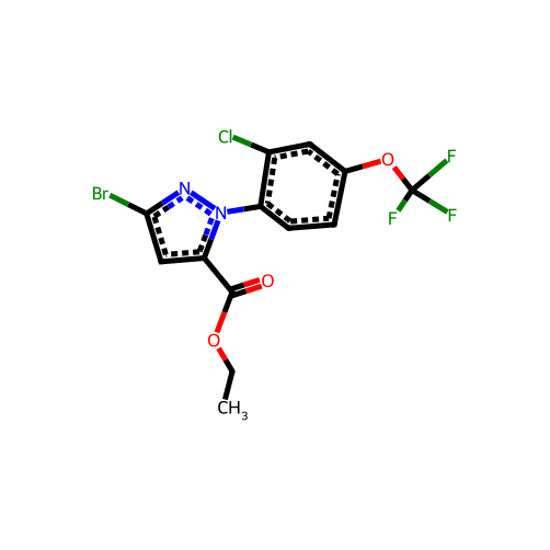 CCOC(=O)c1cc(Br)nn1-c1ccc(OC(F)(F)F)cc1Cl